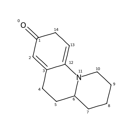 O=C1C=C2CCC3CCCCN3C2=CC1